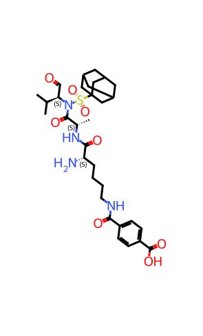 CC(C)[C@@H](C=O)N(C(=O)[C@H](C)NC(=O)[C@@H](N)CCCCNC(=O)c1ccc(C(=O)O)cc1)S(=O)(=O)C12CC3CC(CC(C3)C1)C2